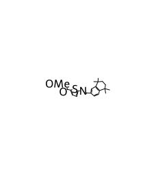 COC(=O)c1ccc(N=Cc2ccc3c(c2)C(C)(C)CCC3(C)C)s1